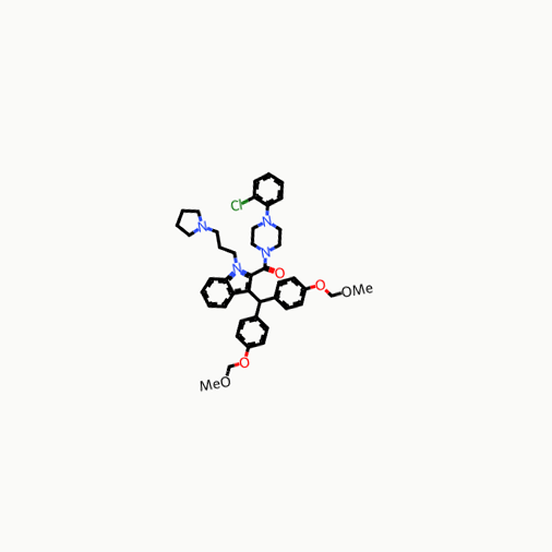 COCOc1ccc(C(c2ccc(OCOC)cc2)c2c(C(=O)N3CCN(c4ccccc4Cl)CC3)n(CCCN3CCCC3)c3ccccc23)cc1